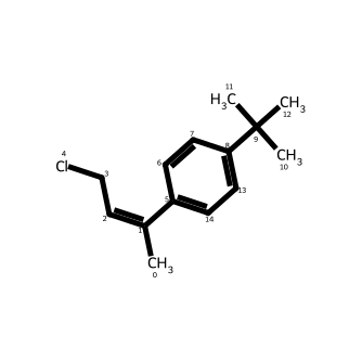 C/C(=C/CCl)c1ccc(C(C)(C)C)cc1